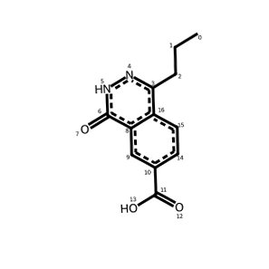 CCCc1n[nH]c(=O)c2cc(C(=O)O)ccc12